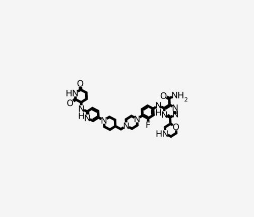 NC(=O)c1nnc(C2CNCCO2)nc1Nc1ccc(N2CCN(CC3CCN(c4ccc(NC5CCC(=O)NC5=O)nc4)CC3)CC2)c(F)c1